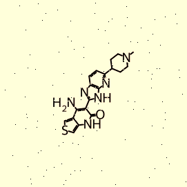 CN1CCC(c2ccc3nc(-c4c(N)c5cscc5[nH]c4=O)[nH]c3n2)CC1